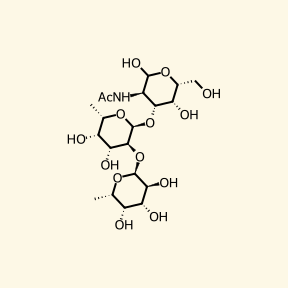 CC(=O)N[C@H]1C(O)O[C@H](CO)[C@H](O)[C@@H]1O[C@@H]1O[C@@H](C)[C@@H](O)[C@@H](O)[C@@H]1O[C@@H]1O[C@@H](C)[C@@H](O)[C@@H](O)[C@@H]1O